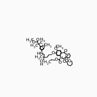 C=CCOC(=O)N1c2cc(OCCCC(C)(CO)CNc3cc(C(C)(C)C(=O)OC)n(C)c3)c(OC)cc2C(=O)N2CCC[C@H]2C1OC1CCCCO1